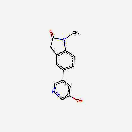 CN1C(=O)Cc2cc(-c3cncc(O)c3)ccc21